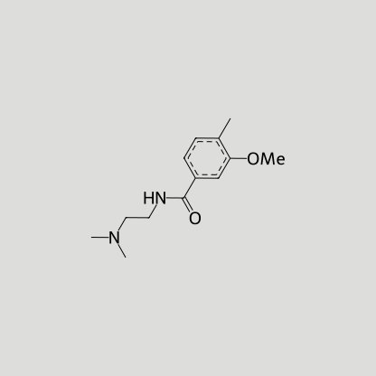 COc1cc(C(=O)NCCN(C)C)ccc1C